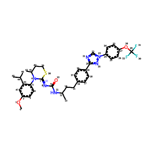 COc1ccc(N2/C(=N/C(=O)NC(C)CCc3ccc(-c4ncn(-c5ccc(OC(F)(F)F)cc5)n4)cc3)SCCC2C)c(C(C)C)c1